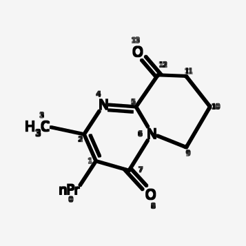 CCCc1c(C)nc2n(c1=O)CCCC2=O